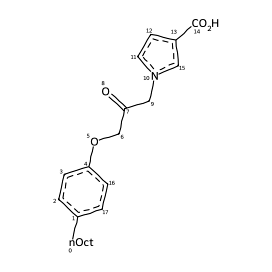 CCCCCCCCc1ccc(OCC(=O)Cn2ccc(C(=O)O)c2)cc1